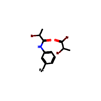 CC(Br)C(=O)Br.CC(Br)C(=O)Nc1cccc(C(F)(F)F)c1